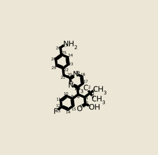 CC(C)(C)C(C(=O)O)C(c1ccc(F)cc1)c1ccnc(Cc2ccc(CN)cc2)n1